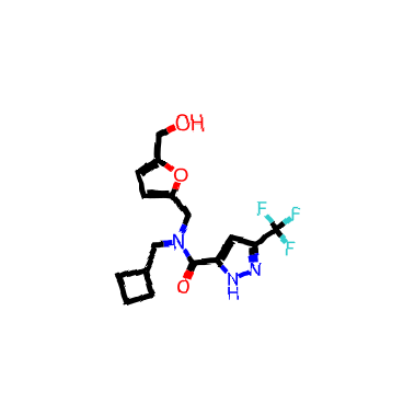 O=C(c1cc(C(F)(F)F)n[nH]1)N(Cc1ccc(CO)o1)CC1CCC1